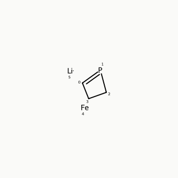 C1=PCC1.[Fe].[Li]